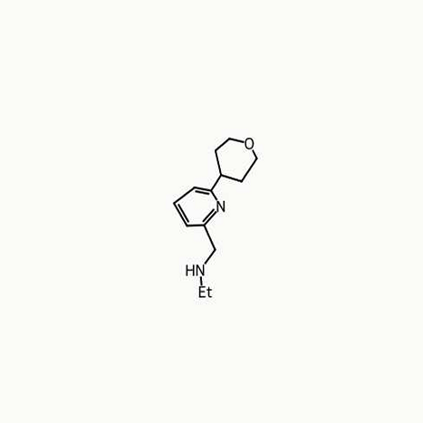 CCNCc1cccc(C2CCOCC2)n1